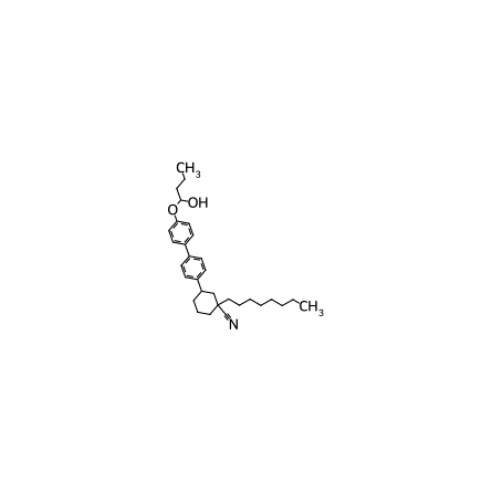 CCCCCCCCC1(C#N)CCCC(c2ccc(-c3ccc(OC(O)CCC)cc3)cc2)C1